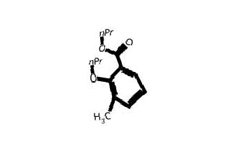 CCCOC(=O)c1cccc(C)c1OCCC